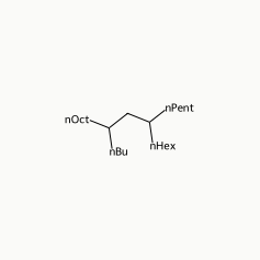 CCCCCCCCC(CCCC)CC(CCCCC)CCCCCC